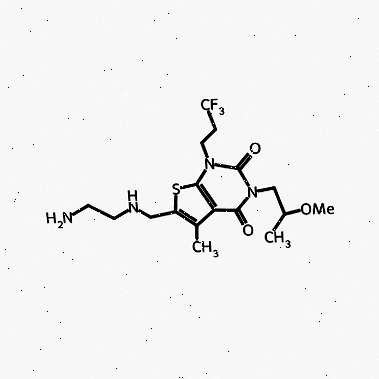 COC(C)Cn1c(=O)c2c(C)c(CNCCN)sc2n(CCC(F)(F)F)c1=O